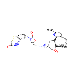 COc1ccc2ccc3c(c2n1)CC(CNC[C@@H]1CN(c2ccc4c(c2)NC(=O)CS4)C(=O)O1)CO3